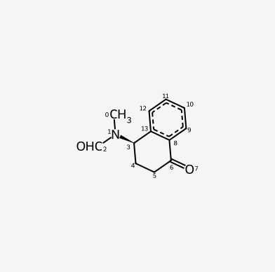 CN(C=O)[C@@H]1CCC(=O)c2ccccc21